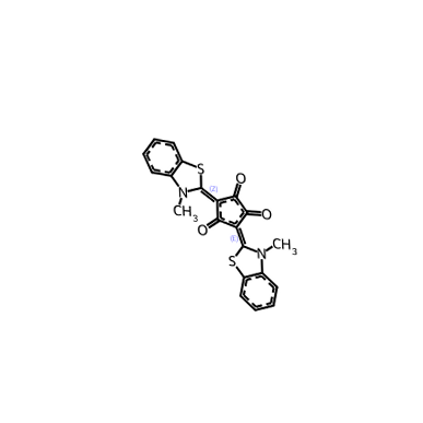 CN1/C(=c2/c(=O)c(=O)/c(=C3/Sc4ccccc4N3C)c2=O)Sc2ccccc21